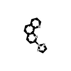 c1cnc2c(c1)ccc1ccc(-n3nccn3)nc12